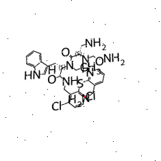 CCN(C(=O)[C@H](CN)NCON)[C@@H](Cc1c[nH]c2ccccc12)C(O)NCc1c(Cl)ccc(Cl)c1Sc1ncccc1CN